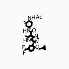 CC(=O)N[C@H]1CC[C@@H](NC(=O)c2c(C)[nH]c3c(-c4cc(C(F)F)ccc4OCC4CC4)ncnc23)C[C@H]1C